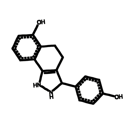 Oc1ccc(C2NNC3=C2CCc2c(O)cccc23)cc1